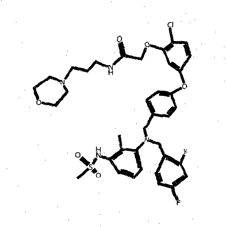 Cc1c(NS(C)(=O)=O)cccc1N(Cc1ccc(Oc2ccc(Cl)c(OCC(=O)NCCCN3CCOCC3)c2)cc1)Cc1ccc(F)cc1F